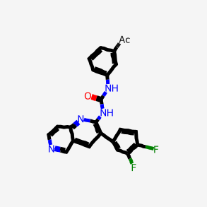 CC(=O)c1cccc(NC(=O)Nc2nc3ccncc3cc2-c2ccc(F)c(F)c2)c1